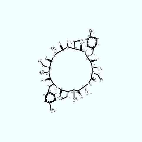 CC(C)C[C@H]1C(=O)O[C@H](C)C(=O)N(C)[C@@H](CC(C)C)C(=O)O[C@H](Cc2ccc(N)cc2)C(=O)N(C)[C@@H](CC(C)C)C(=O)O[C@H](C)C(=O)N(C)[C@@H](CC(C)C)C(=O)OC(Cc2ccc(N)cc2)C(=O)N1C